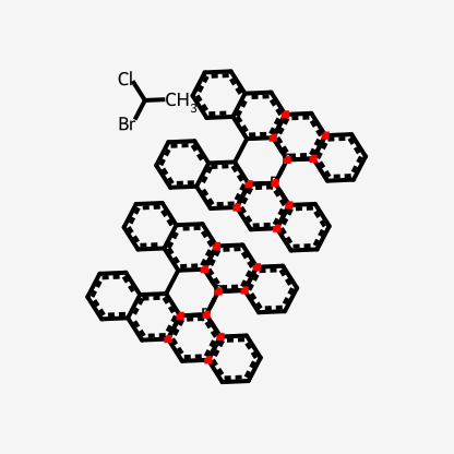 CC(Cl)Br.c1ccc(P(c2ccccc2)c2ccc3ccccc3c2-c2c(P(c3ccccc3)c3ccccc3)ccc3ccccc23)cc1.c1ccc(P(c2ccccc2)c2ccc3ccccc3c2-c2c(P(c3ccccc3)c3ccccc3)ccc3ccccc23)cc1